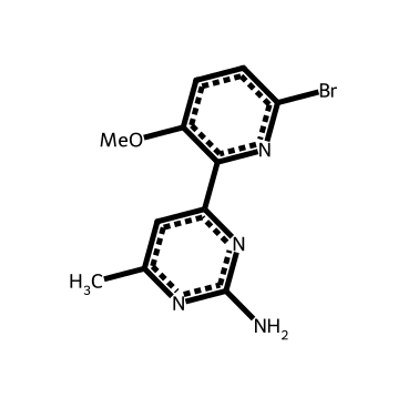 COc1ccc(Br)nc1-c1cc(C)nc(N)n1